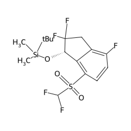 CC(C)(C)[Si](C)(C)O[C@H]1c2c(S(=O)(=O)C(F)F)ccc(F)c2CC1(F)F